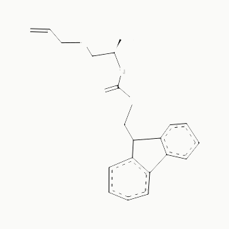 C=CCOC[C@H](NC(=O)OCC1c2ccccc2-c2ccccc21)C(=O)O